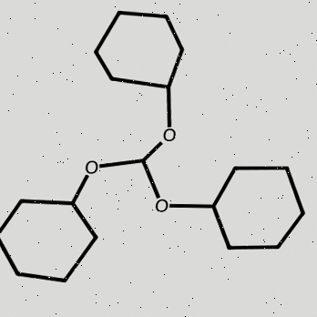 C1CCC(OC(OC2CCCCC2)OC2CCCCC2)CC1